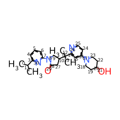 CC(C)c1cccc(N2CC(C(C)(C)c3cc(N4CCC(O)CC4)ccn3)CC2=O)n1